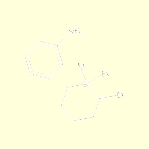 CCC1CCCC[Si]1(CC)CC.[SiH3]c1ccccc1